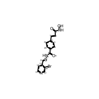 O=C(/C=C/c1ccc(C(=O)N/N=C/c2ccncc2Br)cc1)NO